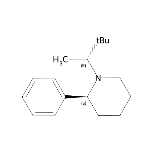 C[C@@H](N1CCCC[C@H]1c1ccccc1)C(C)(C)C